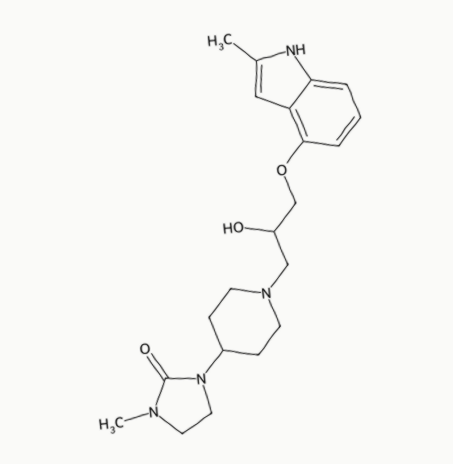 Cc1cc2c(OCC(O)CN3CCC(N4CCN(C)C4=O)CC3)cccc2[nH]1